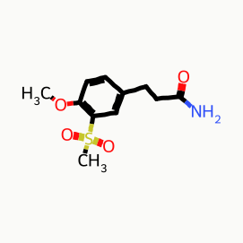 COc1ccc(CCC(N)=O)cc1S(C)(=O)=O